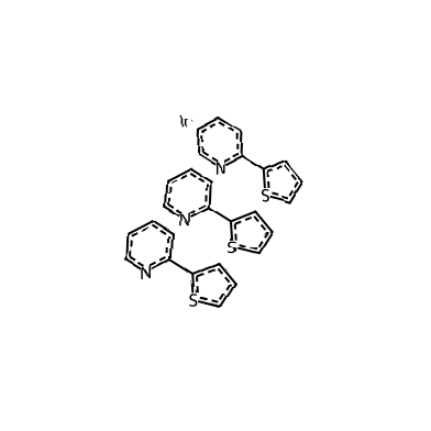 [Ir].c1ccc(-c2cccs2)nc1.c1ccc(-c2cccs2)nc1.c1ccc(-c2cccs2)nc1